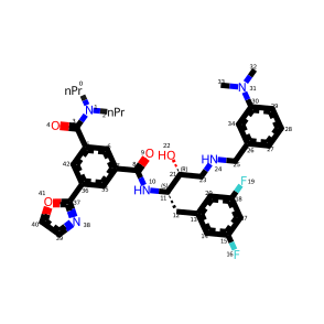 CCCN(CCC)C(=O)c1cc(C(=O)N[C@@H](Cc2cc(F)cc(F)c2)[C@H](O)CNCc2cccc(N(C)C)c2)cc(-c2ncco2)c1